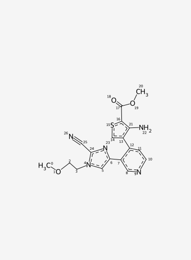 COCCn1cc(-c2cnccc2-c2csc(C(=O)OC)c2N)nc1C#N